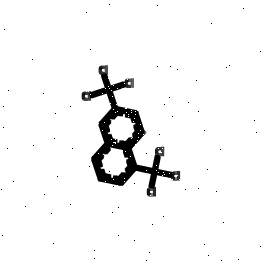 ClC(Cl)(Cl)c1c[c]c2c(C(Cl)(Cl)Cl)cccc2c1